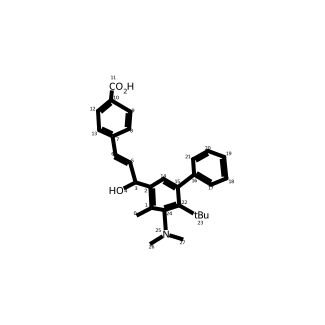 Cc1c(C(O)C=Cc2ccc(C(=O)O)cc2)cc(-c2ccccc2)c(C(C)(C)C)c1N(C)C